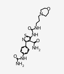 NC(=O)Nc1ccc(-c2nsc(NC(=O)NCCCN3CCOCC3)c2C(N)=O)cc1